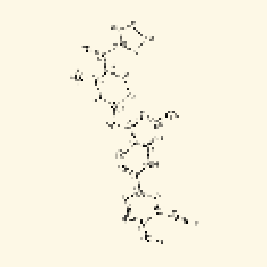 Cc1ncc(C(=O)Nc2cc(Cl)cc(CN3CCN(C(=O)[C@@H]4CCOC4)[C@@H](C)C3)c2C)cc1C#N